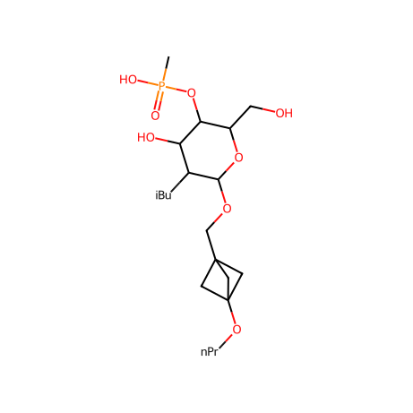 CCCOC12CC(COC3OC(CO)C(OP(C)(=O)O)C(O)C3C(C)CC)(C1)C2